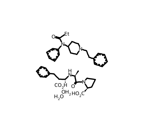 CCC(=O)N(c1ccccc1)C1CCN(CCc2ccccc2)CC1.C[C@H](N[C@@H](CCc1ccccc1)C(=O)O)C(=O)N1CCC[C@H]1C(=O)O.O.O